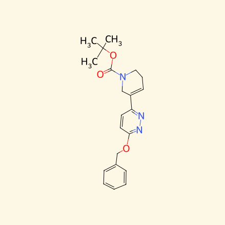 CC(C)(C)OC(=O)N1CCC=C(c2ccc(OCc3ccccc3)nn2)C1